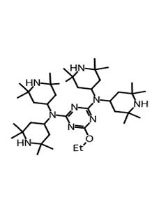 CCOc1nc(N(C2CC(C)(C)NC(C)(C)C2)C2CC(C)(C)NC(C)(C)C2)nc(N(C2CC(C)(C)NC(C)(C)C2)C2CC(C)(C)NC(C)(C)C2)n1